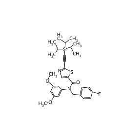 COc1cc(OC)cc(N(Cc2ccc(F)cc2)C(=O)c2cnc(C#C[Si](C(C)C)(C(C)C)C(C)C)s2)c1